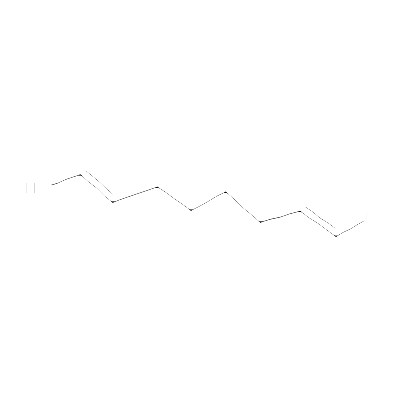 CCC=CCCCCC=CO